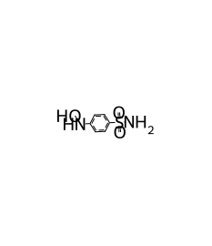 NS(=O)(=O)c1ccc(NO)cc1